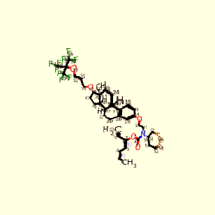 C=C/C(=C\C=C/C)OC(=O)N(CCOc1ccc2c(c1)CC[C@@H]1[C@@H]2CC[C@]2(C)[C@@H](OCCCOC(C(F)(F)F)(C(F)(F)F)C(F)(F)F)CC[C@@H]12)[C@H]1CCSSC1